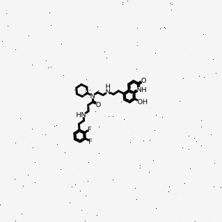 O=C(CCNCCc1cccc(F)c1F)N(CCNCCc1ccc(O)c2[nH]c(=O)ccc12)C1CCCCC1